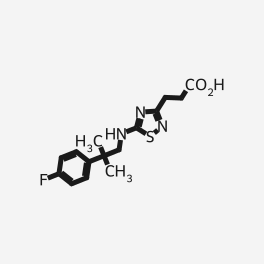 CC(C)(CNc1nc(CCC(=O)O)ns1)c1ccc(F)cc1